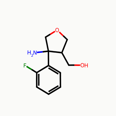 NC1(c2ccccc2F)COCC1CO